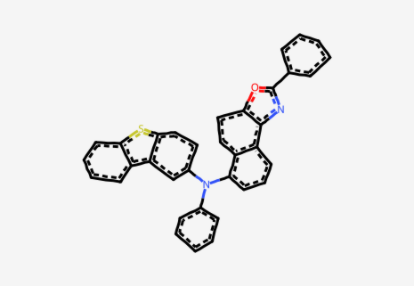 c1ccc(-c2nc3c(ccc4c(N(c5ccccc5)c5ccc6sc7ccccc7c6c5)cccc43)o2)cc1